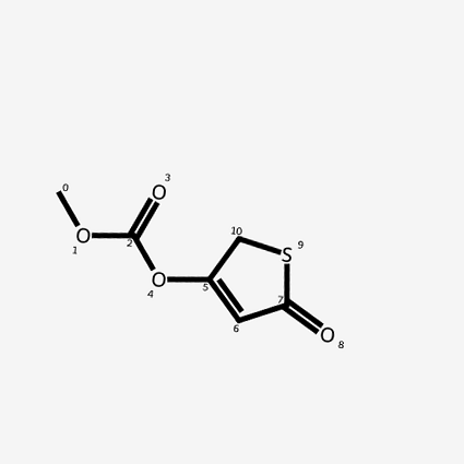 COC(=O)OC1=CC(=O)SC1